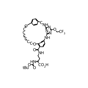 CC(C)(C)OC(=O)N[C@@H](CCNC(=O)c1ccc2cc1OCCCCCCOc1ccc(cc1)CNc1nc(nc(OCC(F)(F)F)n1)N2)C(=O)O